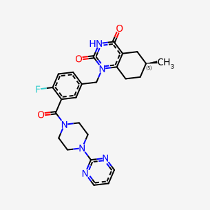 C[C@H]1CCc2c(c(=O)[nH]c(=O)n2Cc2ccc(F)c(C(=O)N3CCN(c4ncccn4)CC3)c2)C1